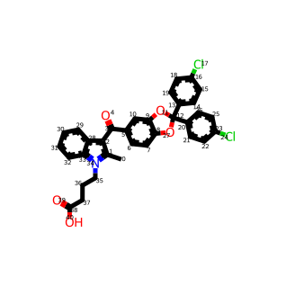 Cc1c(C(=O)c2ccc3c(c2)OC(c2ccc(Cl)cc2)(c2ccc(Cl)cc2)O3)c2ccccc2n1CCCC(=O)O